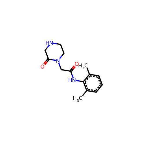 Cc1cccc(C)c1NC(=O)CN1CCNCC1=O